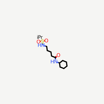 CC(C)S(=O)(=O)NCCCCC(=O)NC1CCCCC1